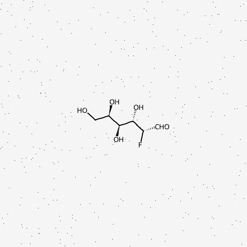 O=C[C@H](F)[C@@H](O)[C@@H](O)[C@H](O)CO